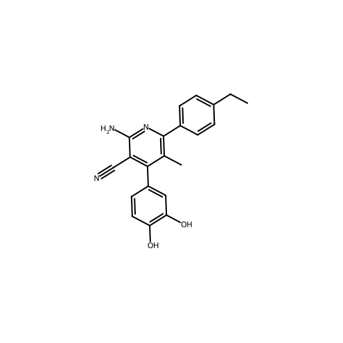 CCc1ccc(-c2nc(N)c(C#N)c(-c3ccc(O)c(O)c3)c2C)cc1